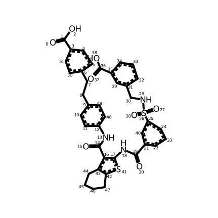 O=C(O)c1ccc(CCc2ccc(NC(=O)c3c(NC(=O)c4cccc(S(=O)(=O)NCc5cccc(C(=O)O)c5)c4)sc4c3CCCC4)cc2)cc1